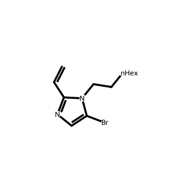 C=Cc1ncc(Br)n1CCCCCCCC